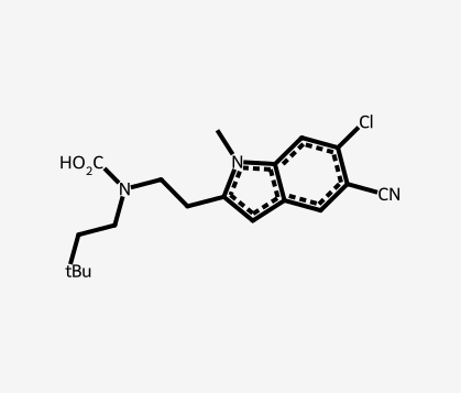 Cn1c(CCN(CCC(C)(C)C)C(=O)O)cc2cc(C#N)c(Cl)cc21